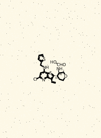 C=Cc1c([C@H]2CCOC[C@@H]2N)sc2c(NCc3cccs3)cc(Cl)nc12.O=CO